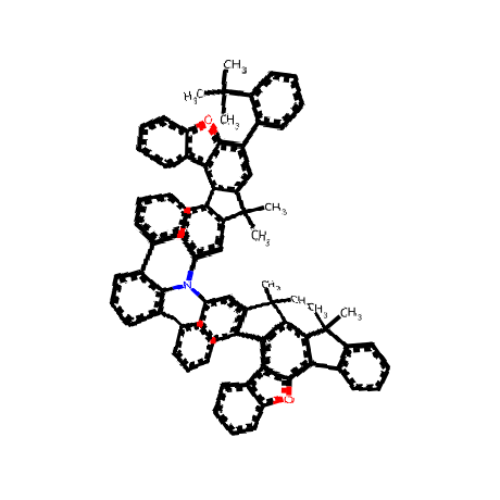 CC(C)(C)c1ccccc1-c1cc2c(c3c1oc1ccccc13)-c1ccc(N(c3ccc4c(c3)C(C)(C)c3c5c(c6oc7ccccc7c6c3-4)-c3ccccc3C5(C)C)c3c(-c4ccccc4)cccc3-c3ccccc3)cc1C2(C)C